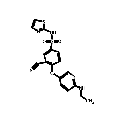 CCNc1ccc(Oc2ccc(S(=O)(=O)Nc3nccs3)cc2C#N)cn1